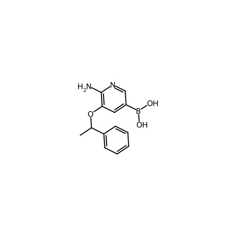 CC(Oc1cc(B(O)O)cnc1N)c1ccccc1